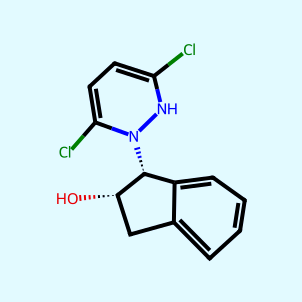 O[C@H]1Cc2ccccc2[C@H]1N1NC(Cl)=CC=C1Cl